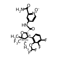 C[C@H]1[C@H](c2ccc(F)c(F)c2OC(F)F)[C@@H](C(=O)Nc2cc[n+]([O-])c(C(N)=O)c2)O[C@@]1(C)C(F)(F)F